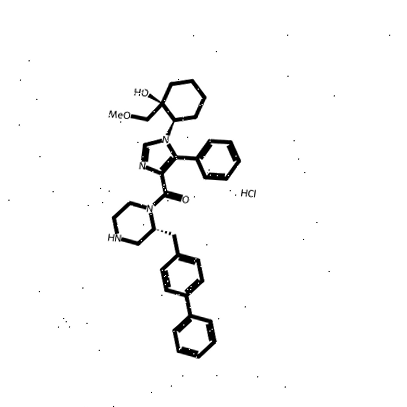 COC[C@]1(O)CCCC[C@H]1n1cnc(C(=O)N2CCNC[C@H]2Cc2ccc(-c3ccccc3)cc2)c1-c1ccccc1.Cl